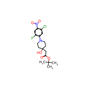 CC(C)(C)OC(=O)CC1(O)CCN(c2cc(Cl)c([N+](=O)[O-])cc2F)CC1